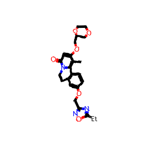 CCc1nc(COc2ccc3c(c2)CCn2c-3c(C)c(OCC3COCCO3)cc2=O)no1